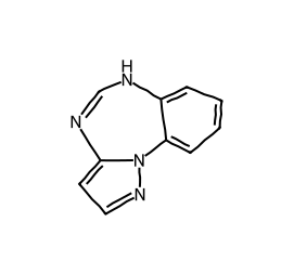 C1=Nc2ccnn2-c2ccccc2N1